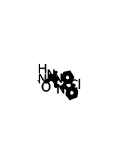 CNC(=O)c1ncn2c1CN=C(c1ccccc1Cl)c1ccccc1-2